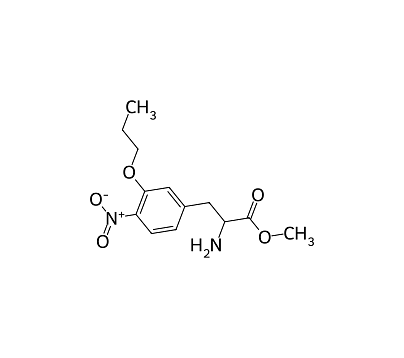 CCCOc1cc(CC(N)C(=O)OC)ccc1[N+](=O)[O-]